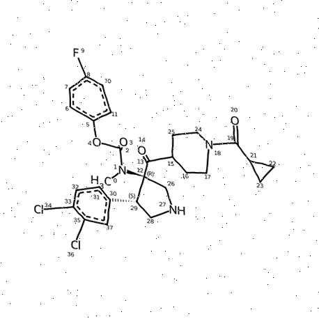 CN(C(=O)Oc1ccc(F)cc1)[C@@]1(C(=O)C2CCN(C(=O)C3CC3)CC2)CNC[C@@H]1c1ccc(Cl)c(Cl)c1